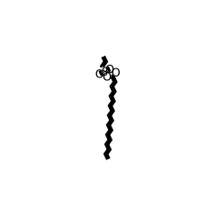 CCCCCCCCCCCCCCCCCC(=O)OS(=O)(=O)CCC